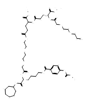 CC(C)(C)OC(=O)Nc1ccc(C(=O)NCCCC[C@H](NC(=O)COCCOCCNC(=O)CCC(NC(=O)CC[C@H](NC(=O)COCCOCCN)C(=O)OC(C)(C)C)C(=O)OC(C)(C)C)C(=O)NC2CCCCCC2)cc1